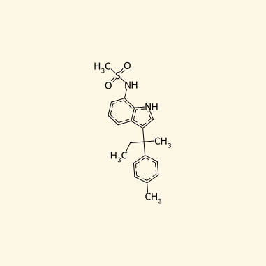 CCC(C)(c1ccc(C)cc1)c1c[nH]c2c(NS(C)(=O)=O)cccc12